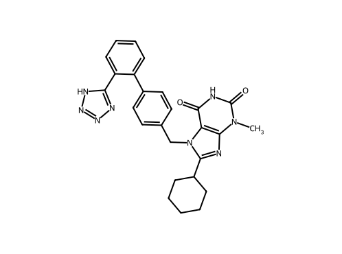 Cn1c(=O)[nH]c(=O)c2c1nc(C1CCCCC1)n2Cc1ccc(-c2ccccc2-c2nnn[nH]2)cc1